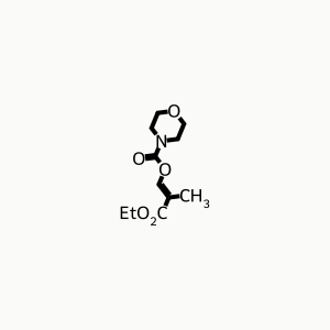 CCOC(=O)C(C)=COC(=O)N1CCOCC1